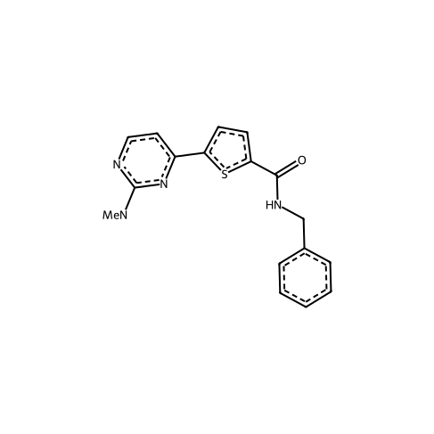 CNc1nccc(-c2ccc(C(=O)NCc3ccccc3)s2)n1